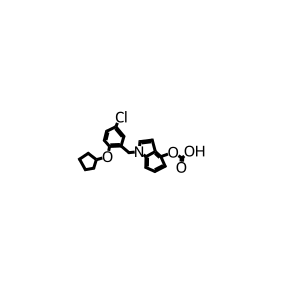 O=C(O)Oc1cccc2c1ccn2Cc1cc(Cl)ccc1OC1CCCC1